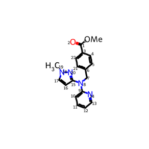 COC(=O)c1ccc(CN(c2ccccn2)c2ccn(C)n2)cc1